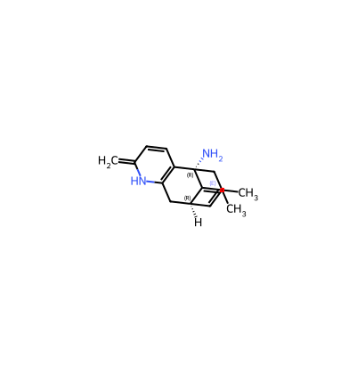 C=C1C=CC2=C(C[C@@H]3C=C(C)C[C@@]2(N)/C3=C/C)N1